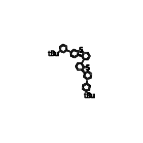 CC(C)(C)c1ccc(-c2ccc3sc4c(-c5cccc6sc7cc(-c8cccc(C(C)(C)C)c8)ccc7c56)cccc4c3c2)cc1